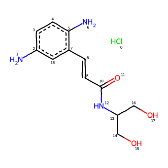 Cl.Nc1ccc(N)c(/C=C/C(=O)NC(CO)CO)c1